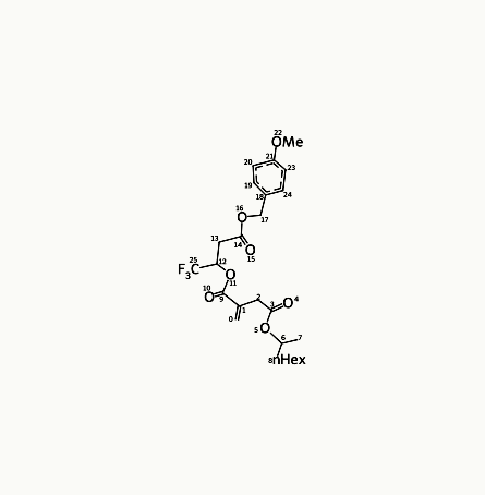 C=C(CC(=O)OC(C)CCCCCC)C(=O)OC(CC(=O)OCc1ccc(OC)cc1)C(F)(F)F